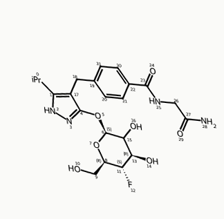 CC(C)c1[nH]nc(O[C@@H]2O[C@H](CO)[C@@H](F)[C@H](O)C2O)c1Cc1ccc(C(=O)NCC(N)=O)cc1